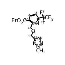 CCOC(=O)c1ccc(C(F)(F)C(F)(F)F)nc1COCc1nnn(C)n1